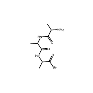 CNC(C)C(=O)NC(C)C(=O)NC(C)C(=O)C(C)C